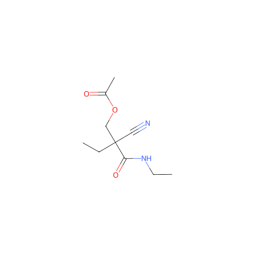 CCNC(=O)C(C#N)(CC)COC(C)=O